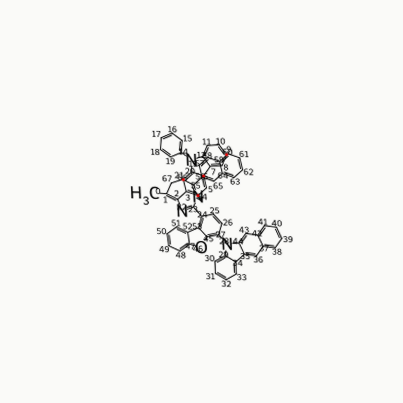 C\C1=C(c2ccc3c4ccccc4n(-c4ccccc4)c3c2)/N=C(c2ccc(-n3c4ccccc4c4cc5ccccc5cc43)c3oc4ccccc4c23)\N=C(\c2ccc3ccccc3c2)CC1